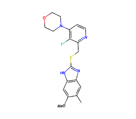 COc1cc2[nH]c(SCc3nccc(N4CCOCC4)c3F)nc2cc1C